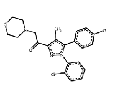 Cc1c(C(=O)CN2CCOCC2)nn(-c2ccccc2Cl)c1-c1ccc(Cl)cc1